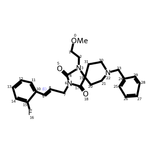 COCCN1C(=O)N(C/C=C/c2ccccc2F)C(=O)C12CCN(Cc1ccccc1)CC2